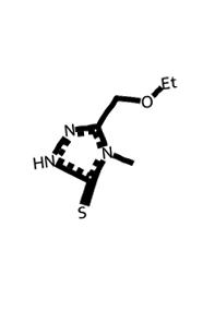 CCOCc1n[nH]c(=S)n1C